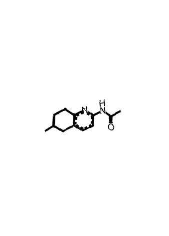 CC(=O)Nc1ccc2c(n1)CCC(C)C2